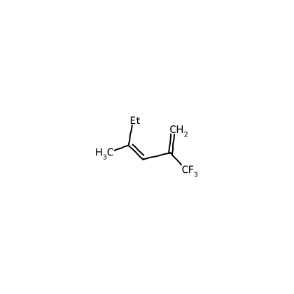 C=C(/C=C(/C)CC)C(F)(F)F